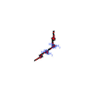 CCCCCCCCON1C(C)(C)CC(CCCCNc2nc(N)nc(NCCCCCCNc3nc(N)nc(NCCCCC4CC(C)(C)N(OCCCCCCCC)C(C)(C)C4)n3)n2)CC1(C)C